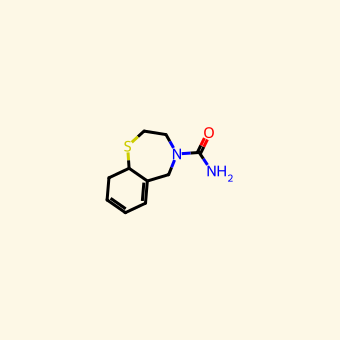 NC(=O)N1CCSC2CC=CC=C2C1